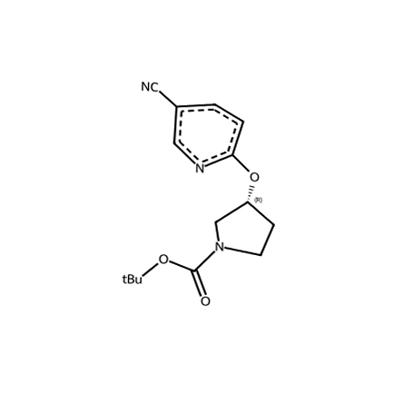 CC(C)(C)OC(=O)N1CC[C@@H](Oc2ccc(C#N)cn2)C1